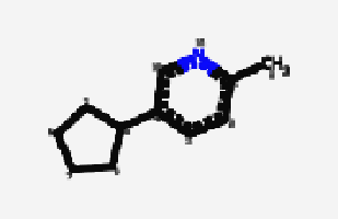 Cc1ccc(C2CCCC2)cn1